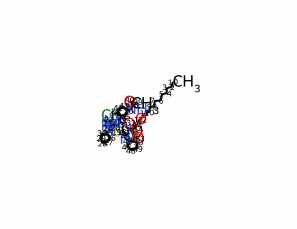 CCCCCCCCCCCCOCCCN1C(C(Sc2nnnn2-c2ccccc2)C(=O)Nc2cc(NC(C)=O)ccc2Cl)=Nc2ccccc2S1(=O)=O